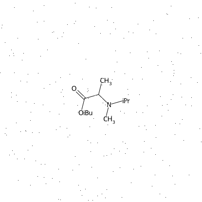 CC(C)COC(=O)C(C)N(C)C(C)C